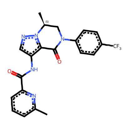 Cc1cccc(C(=O)Nc2cnn3c2C(=O)N(c2ccc(C(F)(F)F)cc2)C[C@@H]3C)n1